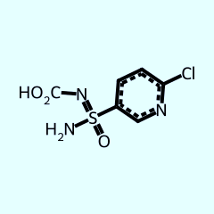 NS(=O)(=NC(=O)O)c1ccc(Cl)nc1